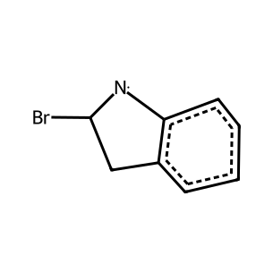 BrC1Cc2ccccc2[N]1